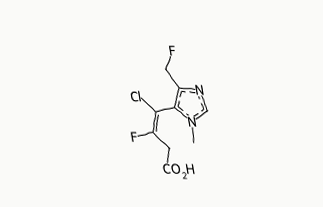 Cn1cnc(CF)c1/C(Cl)=C(/F)CC(=O)O